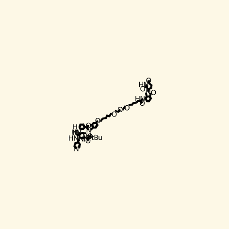 CC(C)(C)OC(=O)N1CCC(Nc2cccc(C(=O)NCc3ccc(OCCCCCCOCCOCCOCCCCCC(=O)Nc4cccc5c4CN(C4CCC(=O)NC4=O)C5=O)cc3)c2)(C(=N)NC(=N)c2ccncc2)CC1